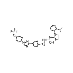 CC(C)c1ccccc1N1CCS/C1=N\C(O)NC1CC1c1ccc(-c2ncn(-c3ccc(OC(F)(F)F)cc3)n2)cc1